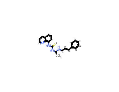 S=C(Nc1cccc2cccnc12)NC(NC/C=C/c1ccccc1)C(Cl)(Cl)Cl